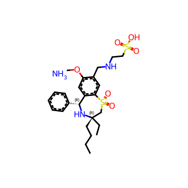 CCCC[C@]1(CC)CS(=O)(=O)c2cc(CNCCS(=O)(=O)O)c(OC)cc2[C@@H](c2ccccc2)N1.N